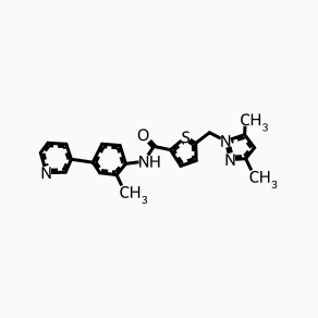 Cc1cc(C)n(Cc2ccc(C(=O)Nc3ccc(-c4cccnc4)cc3C)s2)n1